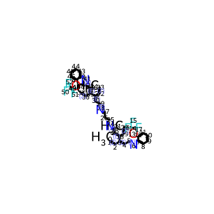 C\C=C/C(=C/C=N/c1ccccc1OC(F)(F)F)C(/C=C\C)=C/C=N/CCC/N=C/C=C(\C=C/C)C(/C=C\C)=C/C=N/c1ccccc1OC(F)(F)F